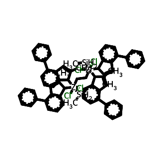 C[SiH2][Zr]([Cl])([Cl])([CH2][CH2][Zr]([Cl])([Cl])([SiH2]C)([CH]1C(C)=Cc2c(-c3ccccc3)cccc21)[CH]1C(C)=Cc2c(-c3ccccc3)cccc21)([CH]1C(C)=Cc2c(-c3ccccc3)cccc21)[CH]1C(C)=Cc2c(-c3ccccc3)cccc21